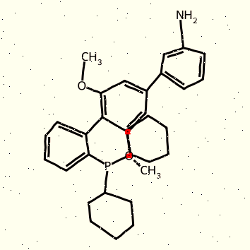 COc1cc(-c2cccc(N)c2)cc(OC)c1-c1ccccc1P(C1CCCCC1)C1CCCCC1